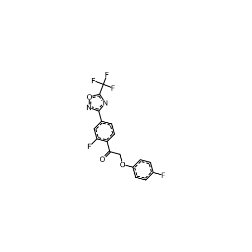 O=C(COc1ccc(F)cc1)c1ccc(-c2noc(C(F)(F)F)n2)cc1F